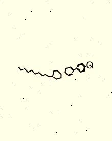 CCCCCCCCCC[C@H]1CC[C@H](C2C=CC(c3ccc(OC)cc3)=CC2)CC1